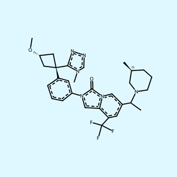 CO[C@H]1C[C@@](c2cccc(-n3cc4c(C(F)(F)F)cc(C(C)N5CCC[C@H](C)C5)cn4c3=O)c2)(c2nncn2C)C1